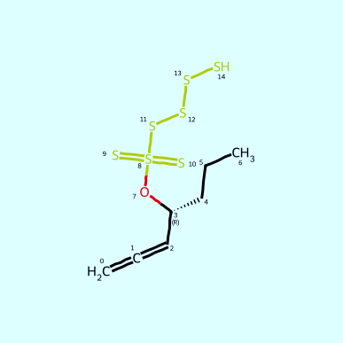 C=C=C[C@@H](CCC)OS(=S)(=S)SSSS